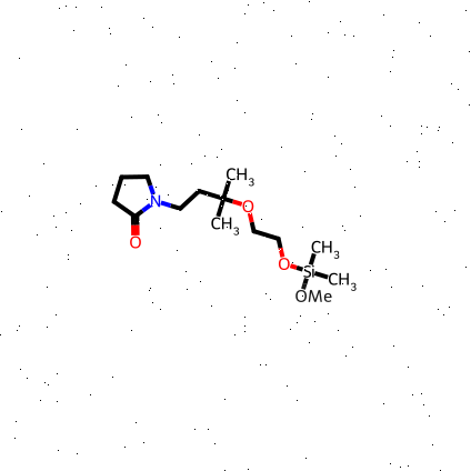 CO[Si](C)(C)OCCOC(C)(C)CCN1CCCC1=O